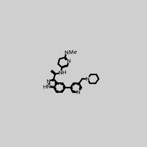 C=C(NC1=CN=C(NC)CC1)c1n[nH]c2ccc(-c3cncc(CN4CCCCC4)c3)cc12